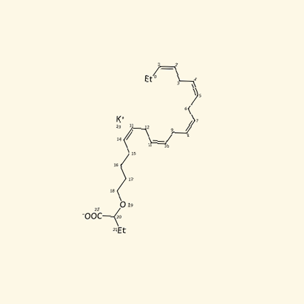 CC/C=C\C/C=C\C/C=C\C/C=C\C/C=C\CCCCOC(CC)C(=O)[O-].[K+]